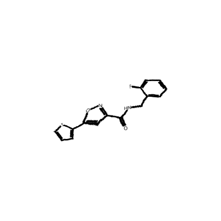 O=C(NCc1ccccc1F)c1cc(-c2cccs2)on1